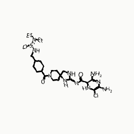 CCN(CC)[S+]([O-])NCC1CCC(C(=O)N2CCC3(CC2)CN/C(=N\C(=O)C2NC(Cl)=C(N)N=C2N)N3)CC1